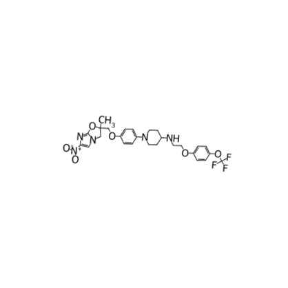 CC1(COc2ccc(N3CCC(NCCOc4ccc(OC(F)(F)F)cc4)CC3)cc2)Cn2cc([N+](=O)[O-])nc2O1